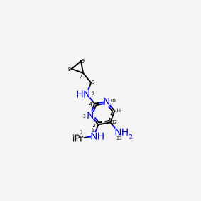 CC(C)Nc1nc(NCC2CC2)ncc1N